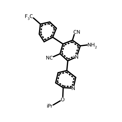 CC(C)Oc1ccc(-c2nc(N)c(C#N)c(-c3ccc(C(F)(F)F)cc3)c2C#N)cn1